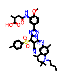 CCCCN1c2cc(C)c(/N=C3\C(C#N)=C(S(=O)(=O)c4ccc(C)cc4)c4nc(-c5ccc(OC)c(NC(=O)CC(C)C(=O)O)c5)nn43)cc2C(C)CC1(C)C